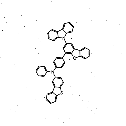 c1ccc(N(c2ccc(-c3cc(-n4c5ccccc5c5ccccc54)cc4c3oc3ccccc34)cc2)c2ccc3sc4ccccc4c3c2)cc1